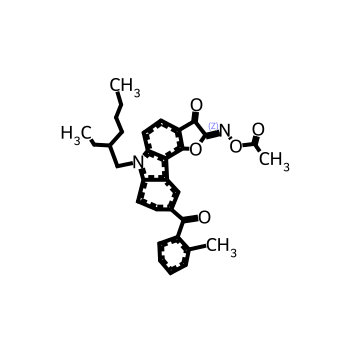 CCCCC(CC)Cn1c2ccc(C(=O)c3ccccc3C)cc2c2c3c(ccc21)C(=O)/C(=N/OC(C)=O)O3